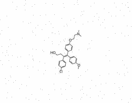 COc1ccc(C(=C(CCO)c2ccc(Cl)cc2)c2ccc(OCCN(C)C)cc2)cc1